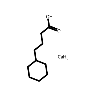 O=C(O)CCCC1CCCCC1.[CaH2]